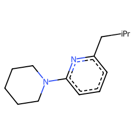 CC(C)Cc1cccc(N2CCCCC2)n1